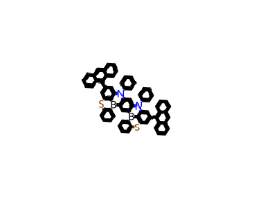 c1ccc(N2c3cc4c(cc3B3c5ccccc5Sc5cc(-c6c7ccccc7cc7ccccc67)cc2c53)B2c3ccccc3Sc3cc(-c5c6ccccc6cc6ccccc56)cc(c32)N4c2ccccc2)cc1